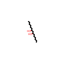 CCCCCCC(O)CC(O)CCCCCC